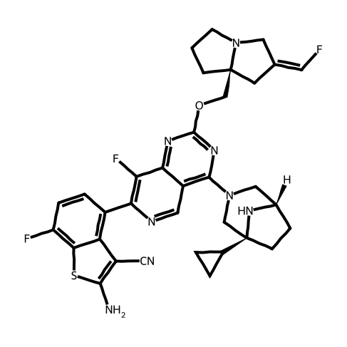 N#Cc1c(N)sc2c(F)ccc(-c3ncc4c(N5C[C@@H]6CC[C@](C7CC7)(C5)N6)nc(OC[C@@]56CCCN5C/C(=C\F)C6)nc4c3F)c12